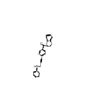 O=C(c1ccc(C#CCNc2ccccc2)cc1)N1CCc2ccccc21